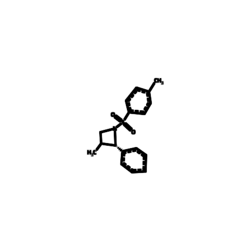 Cc1ccc(S(=O)(=O)N2CC(C)[C@H]2c2ccccc2)cc1